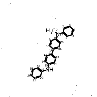 CN(c1ccccc1)c1ccc(-c2ccc(Nc3ccccc3)cc2)cc1